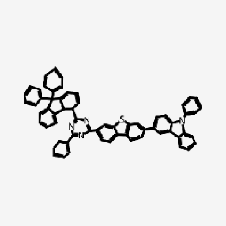 C1=CCCC(c2nc(-c3ccc4c(c3)sc3cc(-c5ccc6c(c5)c5ccccc5n6-c5ccccc5)ccc34)nc(C3C=CC=C4C3c3ccccc3C4(c3ccccc3)c3ccccc3)n2)=C1